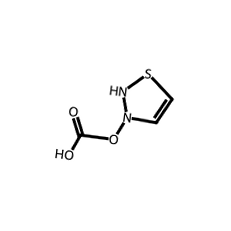 O=C(O)ON1C=CSN1